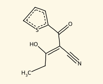 CCC(O)=C(C#N)C(=O)c1cccs1